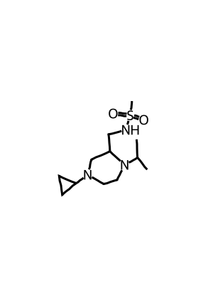 CC(C)N1CCN(C2CC2)CC1CNS(C)(=O)=O